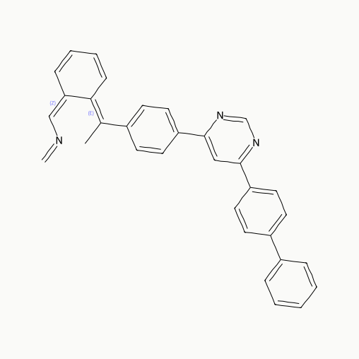 C=N/C=c1/cccc/c1=C(/C)c1ccc(-c2cc(-c3ccc(-c4ccccc4)cc3)ncn2)cc1